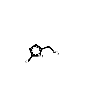 NCc1ccc(Cl)[nH]1